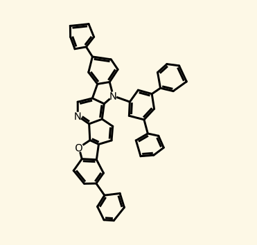 c1ccc(-c2cc(-c3ccccc3)cc(-n3c4ccc(-c5ccccc5)cc4c4cnc5c(ccc6c7cc(-c8ccccc8)ccc7oc65)c43)c2)cc1